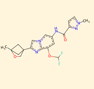 Cn1ccc(C(=O)Nc2cc(OC(F)F)c3nc(C45COC(C)(C4)C5)cn3c2)n1